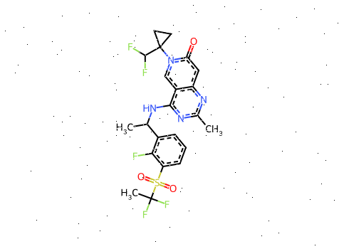 Cc1nc(NC(C)c2cccc(S(=O)(=O)C(C)(F)F)c2F)c2cn(C3(C(F)F)CC3)c(=O)cc2n1